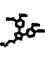 COc1ccc(-c2nc(SCC(=O)O)oc2-c2ccc(OC)c(OC)c2)cc1OC